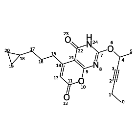 CCC#CC(C)Oc1nc2oc(=O)cc(CCCC3CC3)c2c(=O)[nH]1